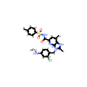 CCCNc1ccc(Cn2c(C)nc3c(C)cc(C(=O)NS(=O)(=O)c4ccc(C)cc4)nc32)c(Cl)c1